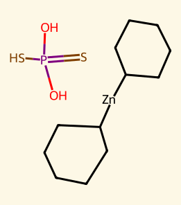 C1CC[CH]([Zn][CH]2CCCCC2)CC1.OP(O)(=S)S